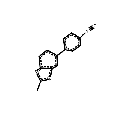 [C-]#[N+]c1ccc(-c2ccc3sc(C)nc3c2)cc1